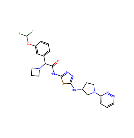 O=C(Nc1nnc(N[C@@H]2CCN(c3cccnn3)C2)s1)C(c1cccc(OC(F)F)c1)N1CCC1